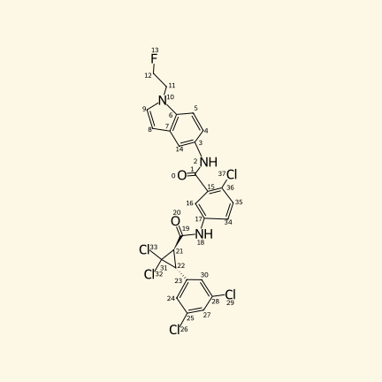 O=C(Nc1ccc2c(ccn2CCF)c1)c1cc(NC(=O)[C@H]2[C@H](c3cc(Cl)cc(Cl)c3)C2(Cl)Cl)ccc1Cl